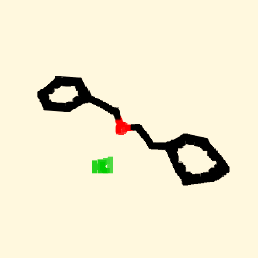 Cl.c1ccc(CCOCc2ccccc2)cc1